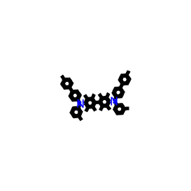 Cc1ccc(-c2ccc(N(c3cccc(C)c3)c3c(C)c(C)c(-c4c(C)c(C)c(N(c5ccc(-c6ccc(C)cc6)cc5)c5cccc(C)c5)c(C)c4C)c(C)c3C)cc2)cc1